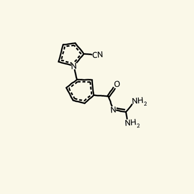 N#Cc1cccn1-c1cccc(C(=O)N=C(N)N)c1